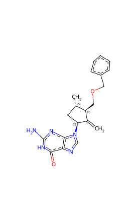 C=C1[C@H](COCc2ccccc2)[C@@H](C)C[C@@H]1n1cnc2c(=O)[nH]c(N)nc21